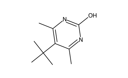 Cc1nc(O)nc(C)c1C(C)(C)C